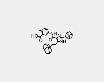 Cc1ccc(NC(=O)c2nc(C3CCC4CC3C4(C)C)[nH]c2CCC23CC4CC(CC(C4)C2)C3)cc1C(=O)O